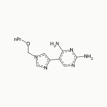 CCCOCn1cnc(-c2cnc(N)nc2N)c1